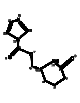 O=C1CCC[C@H](COC(=O)n2ccnc2)N1